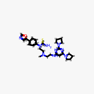 CN(CCNc1cc(N2CCCC2)nc(N2CCCC2)n1)CCN(C(N)=S)c1ccc(-c2cnco2)cc1